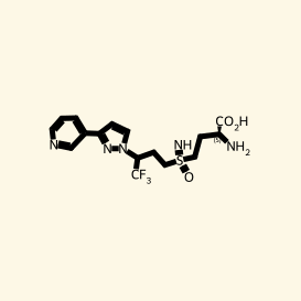 N=S(=O)(CCC(n1ccc(-c2cccnc2)n1)C(F)(F)F)CC[C@H](N)C(=O)O